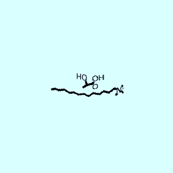 CC(O)C(=O)O.CCCCCCCCCCCCCC[N+](C)(C)C